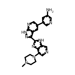 CN1CCN(c2cncc3[nH]c(-c4n[nH]c5ncc(-c6cncc(N)c6)cc45)nc23)CC1